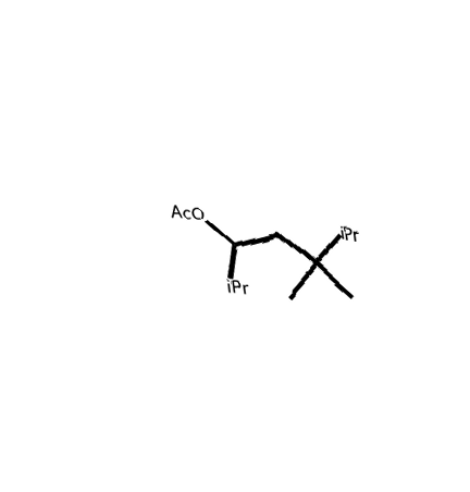 CC(=O)OC(CC(C)(C)C(C)C)C(C)C